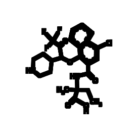 CCC(C)(NC(=O)c1cc(Cl)c2ccccc2c1OC(C(=O)C(F)(F)F)C1CCNCC1)C(=O)O